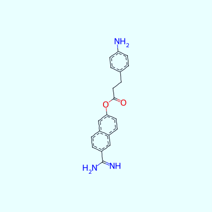 N=C(N)c1ccc2cc(OC(=O)CCc3ccc(N)cc3)ccc2c1